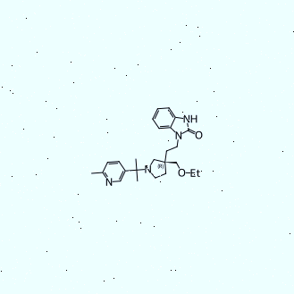 CCOC[C@@]1(CCn2c(=O)[nH]c3ccccc32)CCN(C(C)(C)c2ccc(C)nc2)C1